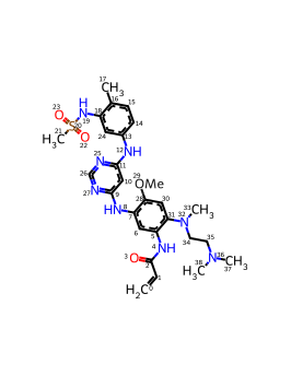 C=CC(=O)Nc1cc(Nc2cc(Nc3ccc(C)c(NS(C)(=O)=O)c3)ncn2)c(OC)cc1N(C)CCN(C)C